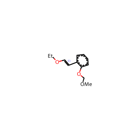 CCO/C=C/c1ccccc1OCOC